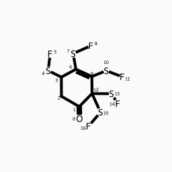 O=C1CC(SF)C(SF)=C(SF)C1(SF)SF